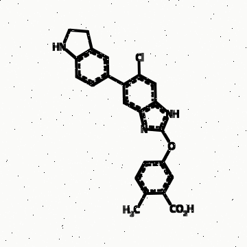 Cc1ccc(Oc2nc3cc(-c4ccc5c(c4)CCN5)c(Cl)cc3[nH]2)cc1C(=O)O